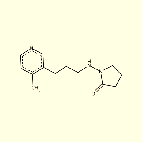 Cc1ccncc1CCCNN1CCCC1=O